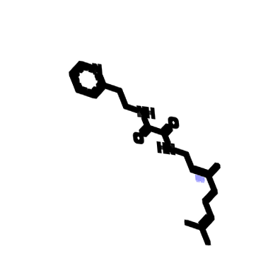 CC(C)=CCC/C(C)=C/CNC(=O)C(=O)NCCc1ccccn1